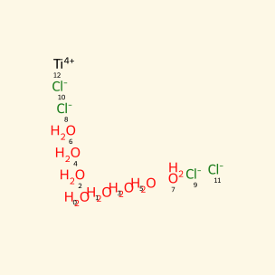 O.O.O.O.O.O.O.O.[Cl-].[Cl-].[Cl-].[Cl-].[Ti+4]